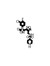 O=c1onc(-c2nonc2CNS(=O)(=O)C2CCNCC2)n1-c1ccc(F)c(Cl)c1